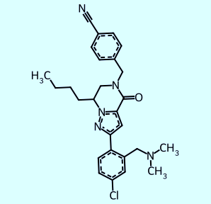 CCCCC1CN(Cc2ccc(C#N)cc2)C(=O)c2cc(-c3ccc(Cl)cc3CN(C)C)nn21